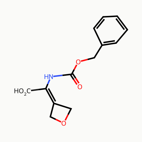 O=C(NC(C(=O)O)=C1COC1)OCc1ccccc1